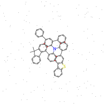 CC1(C)c2ccccc2-c2c(-c3ccccc3N(c3ccccc3-c3ccc4c(c3)sc3ccccc34)c3ccc(-c4ccccc4)cc3-c3ccccc3)cccc21